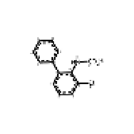 CCc1cccc(-c2ccccc2)c1NC(=O)O